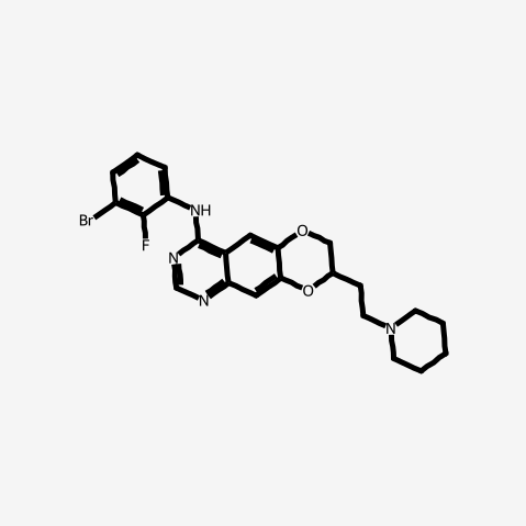 Fc1c(Br)cccc1Nc1ncnc2cc3c(cc12)OCC(CCN1CCCCC1)O3